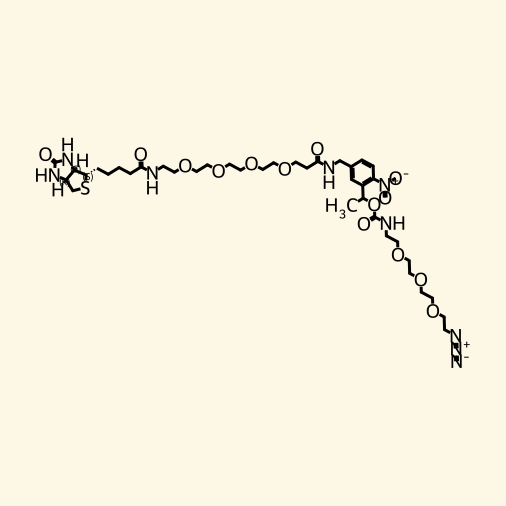 CC(OC(=O)NCCOCCOCCOCCN=[N+]=[N-])c1cc(CNC(=O)CCOCCOCCOCCOCCNC(=O)CCCC[C@@H]2SC[C@@H]3NC(=O)N[C@@H]32)ccc1[N+](=O)[O-]